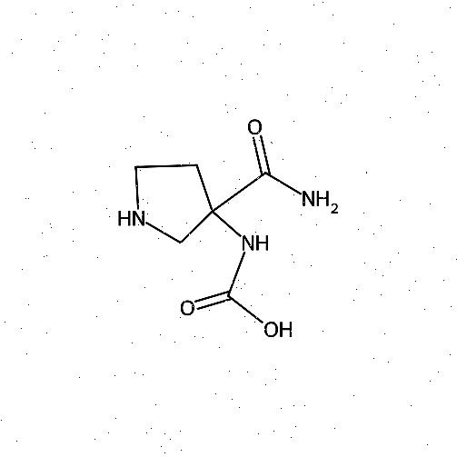 NC(=O)C1(NC(=O)O)CCNC1